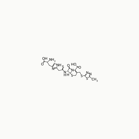 Cc1nnc(SCC2=C(C(=O)O)N3C(=O)[C@@H](NC(=S)Cc4nc(CC(N)C(=O)O)c[nH]4)[C@@H]3SC2)s1